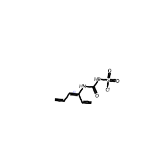 C=C/C=C(\C=C)NC(=O)BS(=O)(=O)Cl